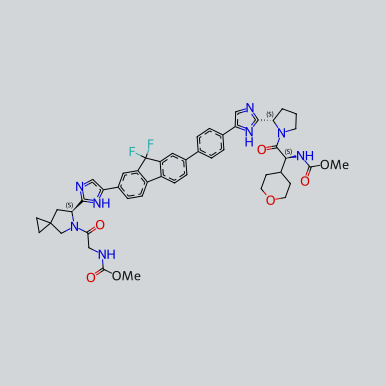 COC(=O)NCC(=O)N1CC2(CC2)C[C@H]1c1ncc(-c2ccc3c(c2)C(F)(F)c2cc(-c4ccc(-c5cnc([C@@H]6CCCN6C(=O)[C@@H](NC(=O)OC)C6CCOCC6)[nH]5)cc4)ccc2-3)[nH]1